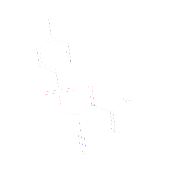 Cc1ccc(S(=O)(=O)ON(C#N)C(=O)C(N)=NO)cc1